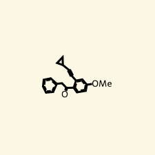 COc1ccc(C(=O)Cc2ccccc2)c(C#CC2CC2)c1